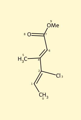 CC=C(Cl)/C(C)=C/C(=O)OC